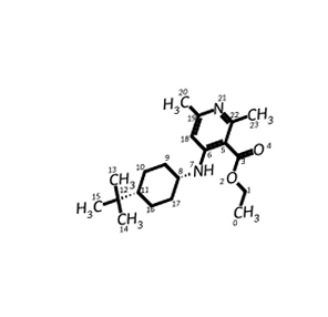 CCOC(=O)c1c(N[C@H]2CC[C@@H](C(C)(C)C)CC2)cc(C)nc1C